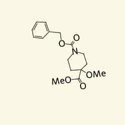 COC(=O)C1(OC)CCN(C(=O)OCc2ccccc2)CC1